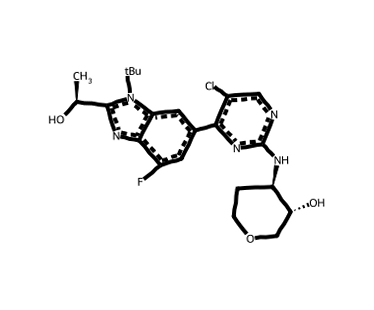 C[C@H](O)c1nc2c(F)cc(-c3nc(N[C@@H]4CCOC[C@H]4O)ncc3Cl)cc2n1C(C)(C)C